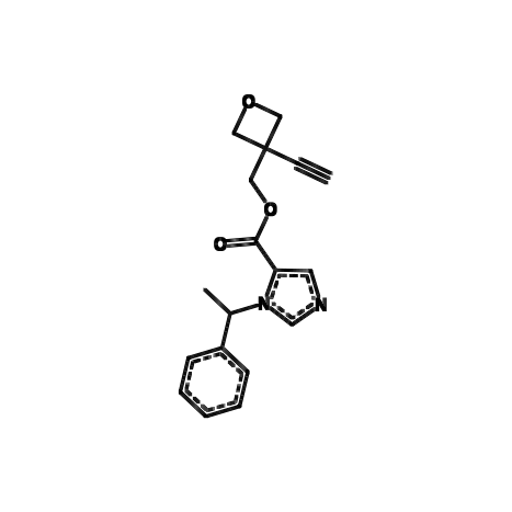 C#CC1(COC(=O)c2cncn2C(C)c2ccccc2)COC1